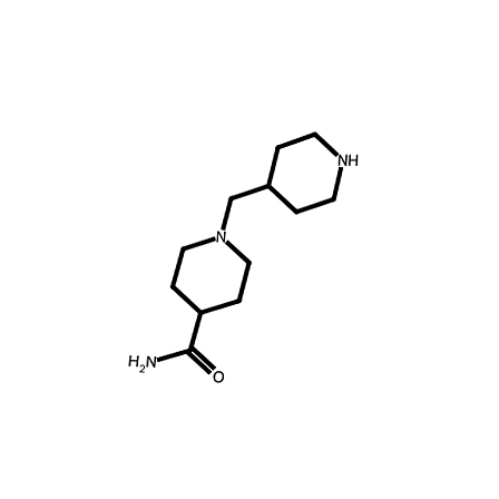 NC(=O)C1CCN(CC2CCNCC2)CC1